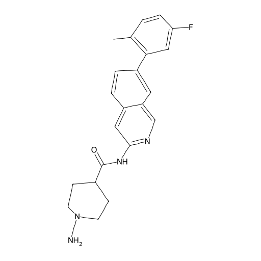 Cc1ccc(F)cc1-c1ccc2cc(NC(=O)C3CCN(N)CC3)ncc2c1